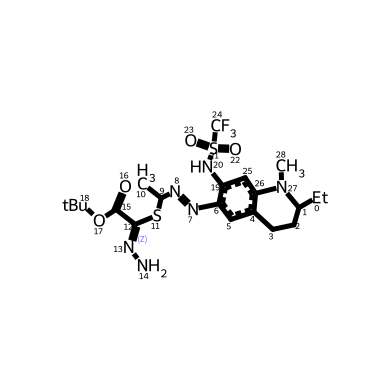 CCC1CCc2cc(N=NC(C)S/C(=N\N)C(=O)OC(C)(C)C)c(NS(=O)(=O)C(F)(F)F)cc2N1C